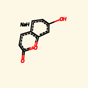 O=c1ccc2ccc(O)cc2o1.[NaH]